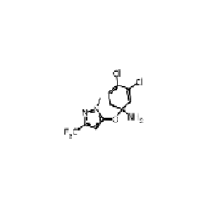 Cn1nc(C(F)(F)F)cc1OC1(N)C=C(Cl)C(Cl)=CC1